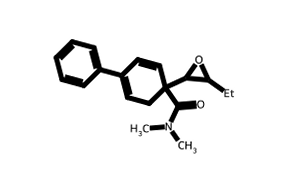 CCC1OC1C1(C(=O)N(C)C)C=CC(c2ccccc2)=CC1